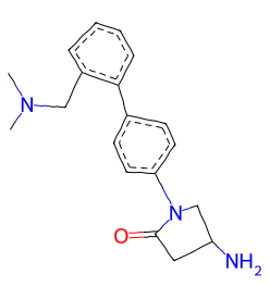 CN(C)Cc1ccccc1-c1ccc(N2CC(N)CC2=O)cc1